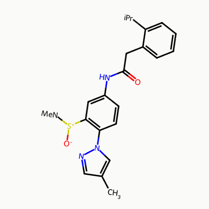 CN[S+]([O-])c1cc(NC(=O)Cc2ccccc2C(C)C)ccc1-n1cc(C)cn1